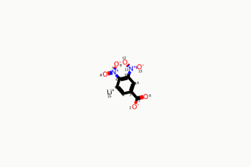 O=C([O-])c1ccc([N+](=O)[O-])c([N+](=O)[O-])c1.[Li+]